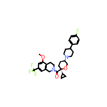 COc1cc(C(F)(F)F)cc2c1CCN(C(=O)[C@@]1(C3CC3)CC[C@@H](N3CCC(c4ccc(F)cc4)CC3)CO1)C2